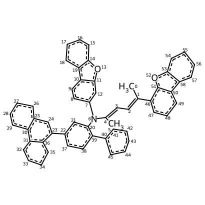 C/C(=C\C=C(/C)N(c1ccc2c(c1)oc1ccccc12)c1cc(-c2cc3ccccc3c3ccccc23)ccc1-c1ccccc1)c1cccc2c1oc1ccccc12